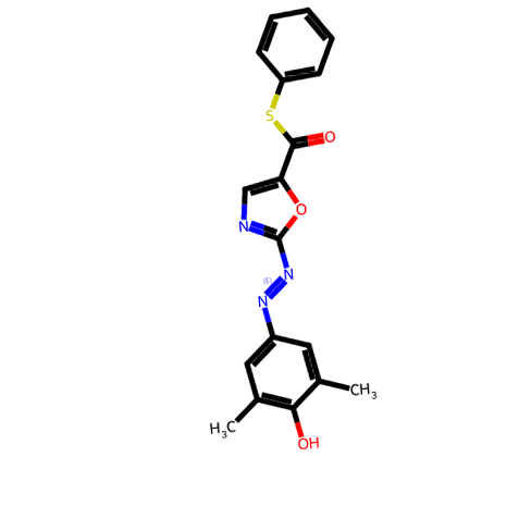 Cc1cc(/N=N/c2ncc(C(=O)Sc3ccccc3)o2)cc(C)c1O